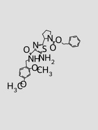 COc1ccc(CNC(=O)c2nc(C3CCCN3C(=O)OCc3ccccc3)sc2N)c(OC)c1